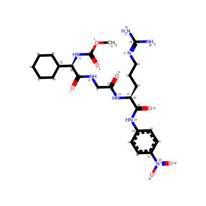 COC(=O)N[C@@H](C(=O)NCC(=O)N[C@@H](CCCN=C(N)N)C(=O)Nc1ccc([N+](=O)[O-])cc1)C1CCCCC1